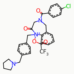 O=C(c1ccc(Cl)cc1)N1CC(=O)[N+](Cc2ccc(CN3CCCC3)cc2)(OC(=O)C(F)(F)F)c2ccccc2C1